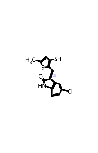 Cc1cc(S)c(/C=C2\C(=O)Nc3ccc(Cl)cc32)s1